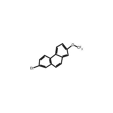 CCc1ccc2c(ccc3cc(OC(F)(F)F)ccc32)c1